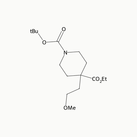 CCOC(=O)C1(CCOC)CCN(C(=O)OC(C)(C)C)CC1